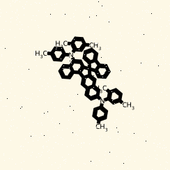 Cc1ccc(N(c2ccc3cc4c(cc3c2)C2(c3ccccc3-c3ccccc32)c2cc(N(c3ccc(C)cc3)c3cc(C)ccc3C)c3ccccc3c2-4)c2cc(C)ccc2C)cc1